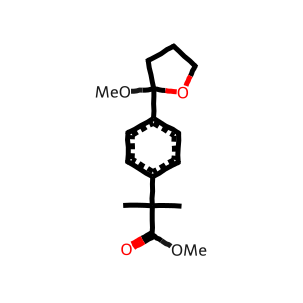 COC(=O)C(C)(C)c1ccc(C2(OC)CCCO2)cc1